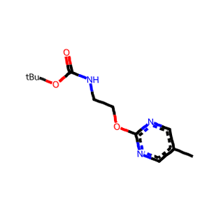 Cc1cnc(OCCNC(=O)OC(C)(C)C)nc1